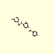 CC(c1ccc(NC(=O)c2ccc(C(=O)O)cc2)cc1Cl)C(O)(c1ccnc(Cl)c1)C(F)(F)F